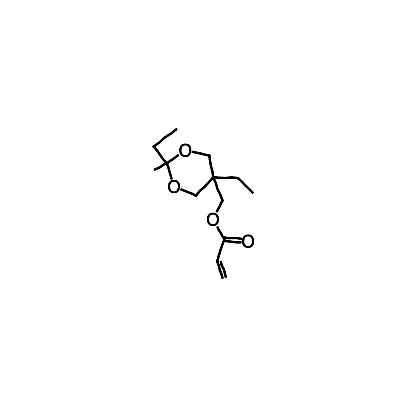 C=CC(=O)OCC1(CC)COC(C)(CC)OC1